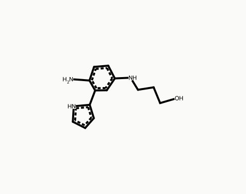 Nc1ccc(NCCCO)cc1-c1ccc[nH]1